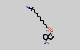 CN(C)c1cccc2c(S(=O)(=O)OCCCCCCCCCCC(C)(C)C#N)cccc12